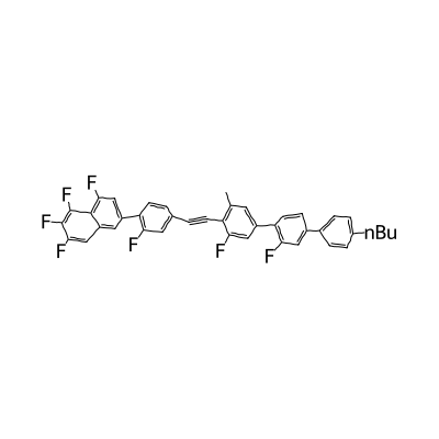 CCCCc1ccc(-c2ccc(-c3cc(C)c(C#Cc4ccc(-c5cc(F)c6c(F)c(F)c(F)cc6c5)c(F)c4)c(F)c3)c(F)c2)cc1